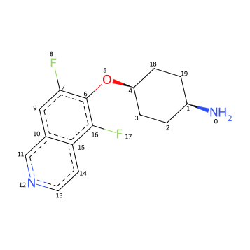 N[C@H]1CC[C@@H](Oc2c(F)cc3cnccc3c2F)CC1